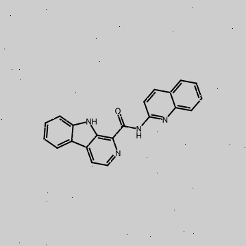 O=C(Nc1ccc2ccccc2n1)c1nccc2c1[nH]c1ccccc12